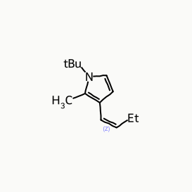 CC/C=C\c1ccn(C(C)(C)C)c1C